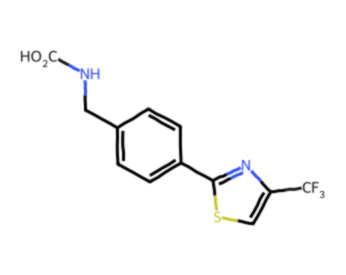 O=C(O)NCc1ccc(-c2nc(C(F)(F)F)cs2)cc1